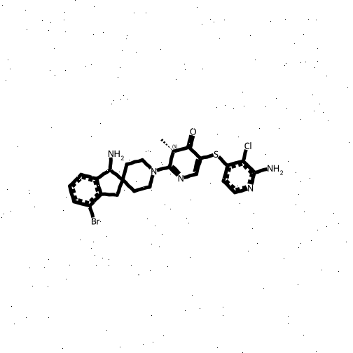 C[C@@H]1C(=O)C(Sc2ccnc(N)c2Cl)=CN=C1N1CCC2(CC1)Cc1c(Br)cccc1C2N